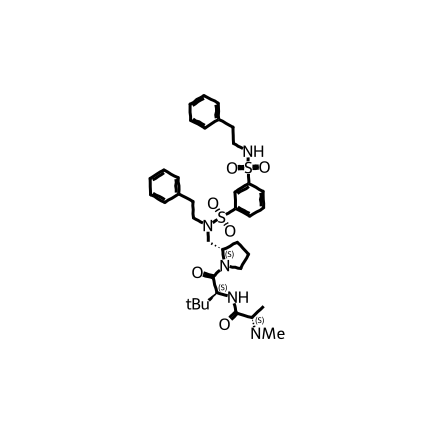 CN[C@@H](C)C(=O)N[C@H](C(=O)N1CCC[C@H]1CN(CCc1ccccc1)S(=O)(=O)c1cccc(S(=O)(=O)NCCc2ccccc2)c1)C(C)(C)C